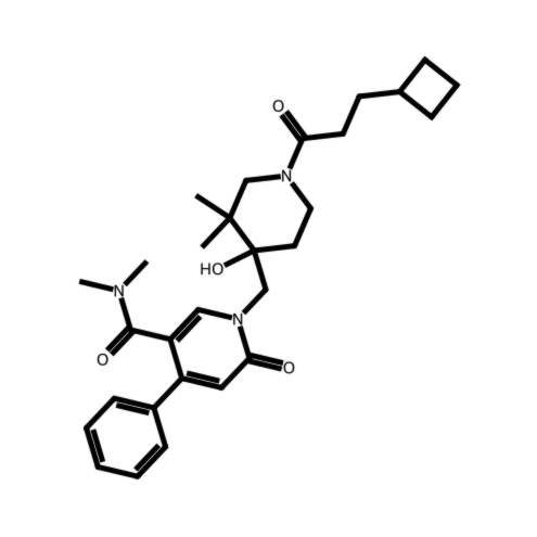 CN(C)C(=O)c1cn(CC2(O)CCN(C(=O)CCC3CCC3)CC2(C)C)c(=O)cc1-c1ccccc1